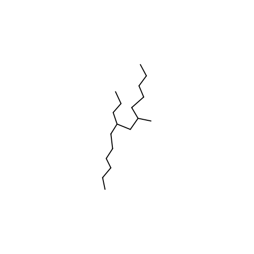 CCCCCCC(CCC)CC(C)CCCCC